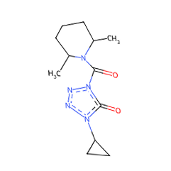 CC1CCCC(C)N1C(=O)n1nnn(C2CC2)c1=O